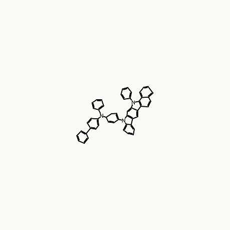 C1=CC(N(c2ccccc2)c2ccc(-c3ccccc3)cc2)CC=C1n1c2ccccc2c2cc3c4ccc5ccccc5c4n(-c4ccccc4)c3cc21